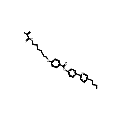 C=C(C)C(=O)OCCCCCCOc1ccc(C(=O)Oc2ccc(-c3ccc(CCCC)cn3)cc2)cc1